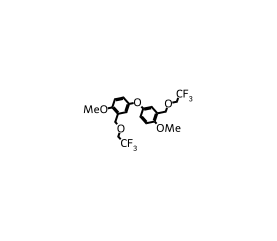 COc1ccc(Oc2ccc(OC)c(COCC(F)(F)F)c2)cc1COCC(F)(F)F